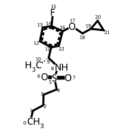 CCCCCS(=O)(=O)N[C@H](C)c1ccc(F)c(OCC2CC2)c1